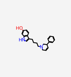 Oc1ccc2c(CCCCN3CC=CC(c4ccccc4)C3)c[nH]c2c1